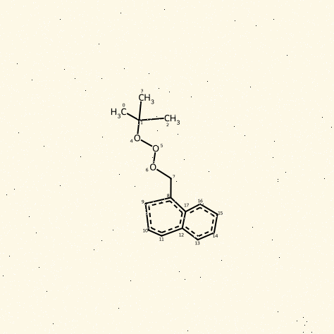 CC(C)(C)OOOCc1cccc2ccccc12